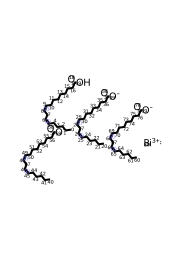 CCCCC/C=C\C/C=C\CCCCCCCC(=O)O.CCCCC/C=C\C/C=C\CCCCCCCC(=O)[O-].CCCCC/C=C\C/C=C\CCCCCCCC(=O)[O-].CCCCC/C=C\C/C=C\CCCCCCCC(=O)[O-].[Bi+3]